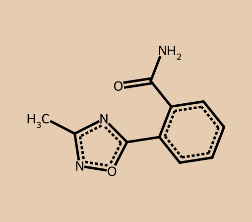 Cc1noc(-c2ccccc2C(N)=O)n1